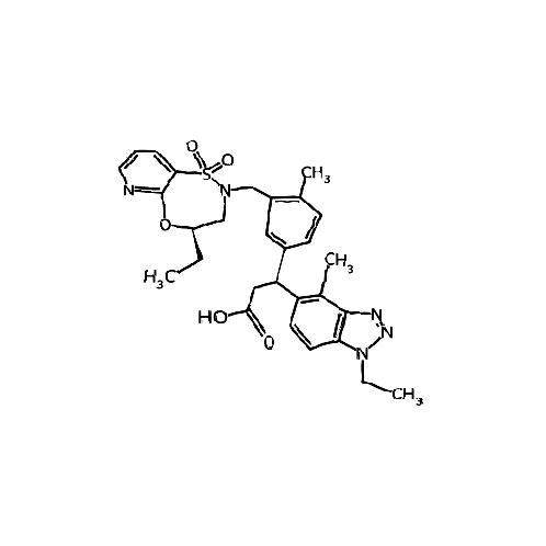 CC[C@@H]1CN(Cc2cc(C(CC(=O)O)c3ccc4c(nnn4CC)c3C)ccc2C)S(=O)(=O)c2cccnc2O1